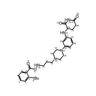 CC(C)(C)c1ccccc1C(=O)ONCCCN1CCN(c2cccc(NC3CCC(=O)NC3=O)c2)CC1